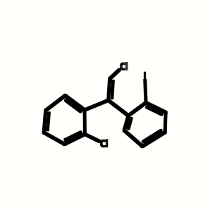 ClC=C(c1ccccc1Cl)c1ccccc1I